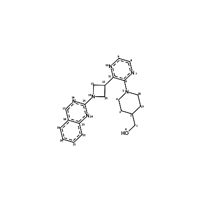 OCC1CCN(c2nccnc2C2CN(c3ncc4ccccc4n3)C2)CC1